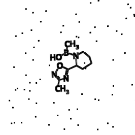 CB(O)N1CCCCC1c1nc(C)no1